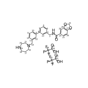 O=C(NCc1cccc(-c2cccc(CN3CCCNCC3)c2)c1)c1ccc2c(c1)OCO2.O=C(O)C(F)(F)F.O=C(O)C(F)(F)F